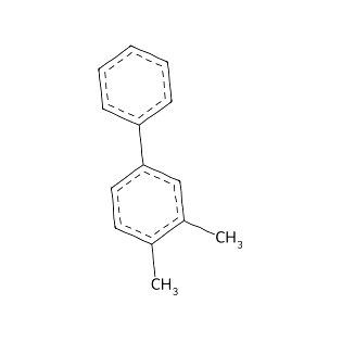 Cc1ccc(-c2ccccc2)cc1C